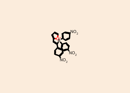 O=[N+]([O-])c1ccc(C2=Cc3ccc[o+]3[B-]2(c2ccc([N+](=O)[O-])cc2)c2ccc([N+](=O)[O-])cc2)cc1